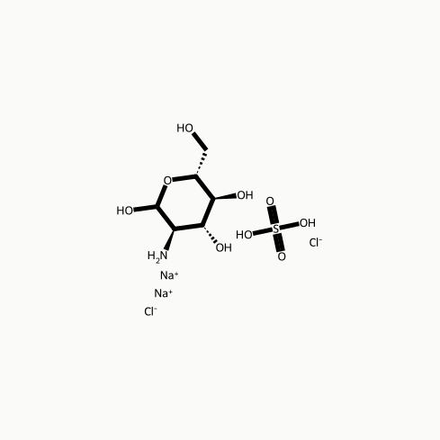 N[C@H]1C(O)O[C@H](CO)[C@@H](O)[C@@H]1O.O=S(=O)(O)O.[Cl-].[Cl-].[Na+].[Na+]